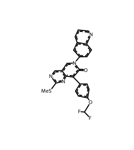 CSc1ncc2cn(-c3ccc4ncccc4c3)c(=O)c(-c3ccc(OC(F)F)cc3)c2n1